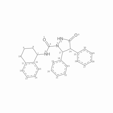 O=C1NN(C(=O)NC2CCCc3ccccc32)C(c2ccccc2)C1c1ccccc1